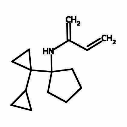 C=CC(=C)NC1(C2(C3CC3)CC2)CCCC1